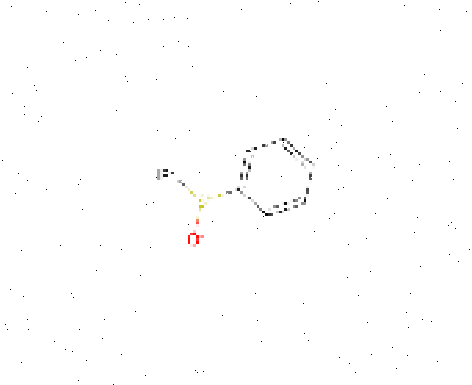 CC(C)[S+]([O-])c1ccccc1